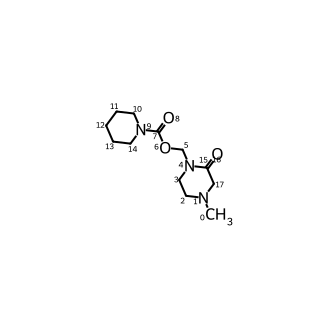 CN1CCN(COC(=O)N2CCCCC2)C(=O)C1